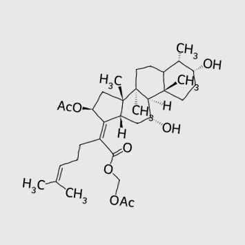 CC(=O)OCOC(=O)C(CCC=C(C)C)=C1[C@@H](OC(C)=O)C[C@@]2(C)[C@@H]1C[C@@H](O)[C@@H]1[C@@]3(C)CC[C@@H](O)[C@@H](C)C3CC[C@@]12C